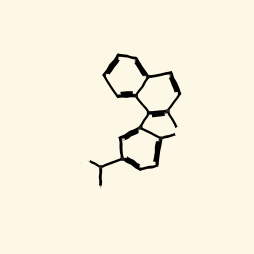 CC(C)c1ccc2sc3ccc4ccccc4c3c2c1